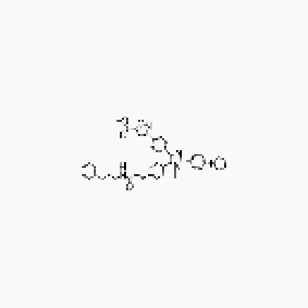 COC(=O)C1CC(c2ccc(-c3nc(-c4ccc(N5CCCC5)cc4)[nH]c3-c3ccc(C=CC(=O)NCCCc4ccccc4)cc3)cc2)=NO1